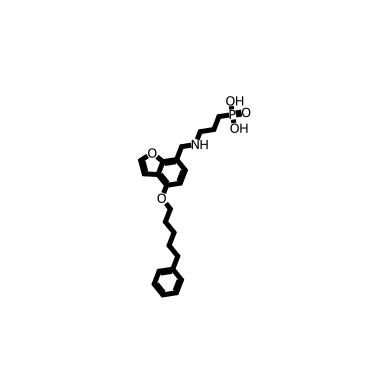 O=P(O)(O)CCCNCc1ccc(OCCCCCc2ccccc2)c2ccoc12